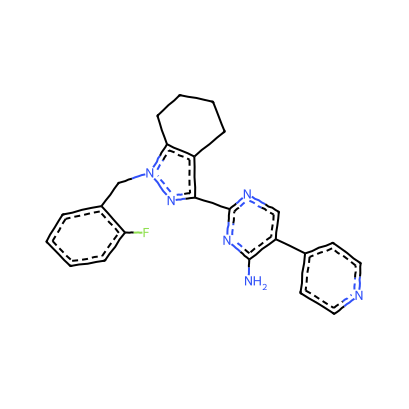 Nc1nc(-c2nn(Cc3ccccc3F)c3c2CCCC3)ncc1-c1ccncc1